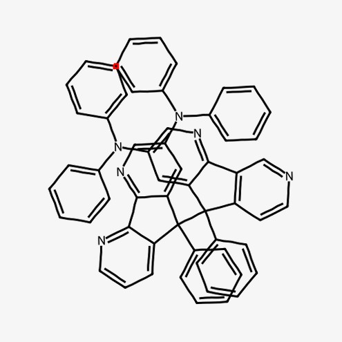 c1ccc(N(c2ccccc2)c2cnc3c(c2)C(c2ccccc2)(C2(c4ccccc4)c4cccnc4-c4ncc(N(c5ccccc5)c5ccccc5)cc42)c2ccncc2-3)cc1